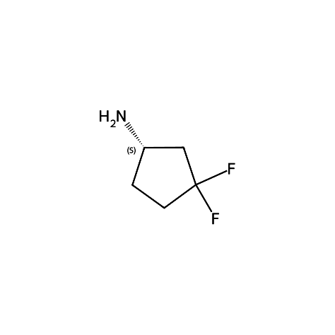 N[C@H]1CCC(F)(F)C1